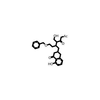 CC(=O)CC(=O)C(CO)C(CCOCc1ccccc1)CC1CC(=O)c2c(O)cccc2C1